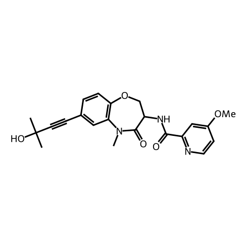 COc1ccnc(C(=O)NC2COc3ccc(C#CC(C)(C)O)cc3N(C)C2=O)c1